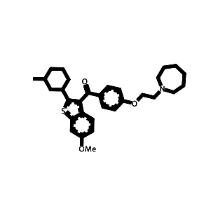 COc1ccc2c(C(=O)c3ccc(OCCN4CCCCCC4)cc3)c(C3CCCC(C)C3)sc2c1